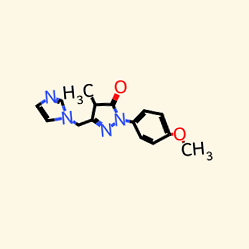 COc1ccc(N2N=C(Cn3ccnc3)C(C)C2=O)cc1